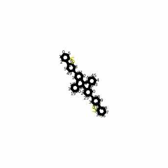 c1ccc2c(c1)sc1cc(-c3ccc4c(c3)c3ccccc3c3c5ccc(-c6ccc7c(c6)sc6ccccc67)cc5c5ccccc5c43)ccc12